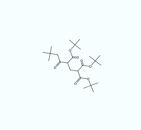 CC(C)(C)CC(=O)C(CC(C(=O)OC(C)(C)C)C(=O)OC(C)(C)C)C(=O)OC(C)(C)C